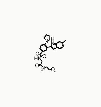 COCCN(C)C(=O)CNS(=O)(=O)c1ccc(N2CCCC2)c(-c2cc3ccc(C)cc3[nH]2)c1